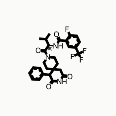 CC(C)[C@@H](NC(=O)c1cc(C(F)(F)F)ccc1F)C(=O)N1CCC2(CC1)CC(=O)NC(=O)C2c1ccccc1